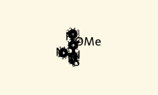 COc1cc(-c2nc3sccn3c2-c2ccncc2)ccc1-c1ccccn1